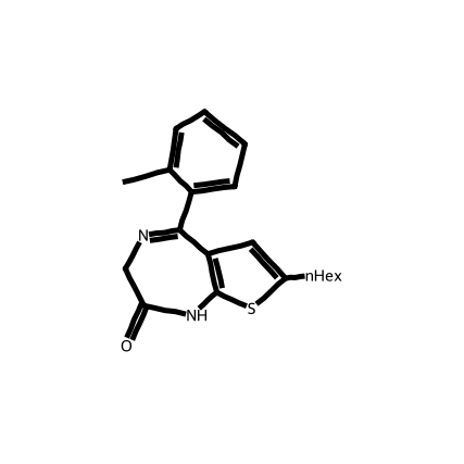 CCCCCCc1cc2c(s1)NC(=O)CN=C2c1ccccc1C